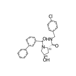 O=C(NCc1ccc(Cl)cc1)[C@@H]1C[C@@H](O)CN1C(=O)c1cccc(-c2ccccc2)c1